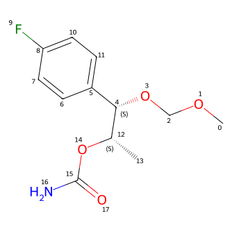 COCO[C@@H](c1ccc(F)cc1)[C@H](C)OC(N)=O